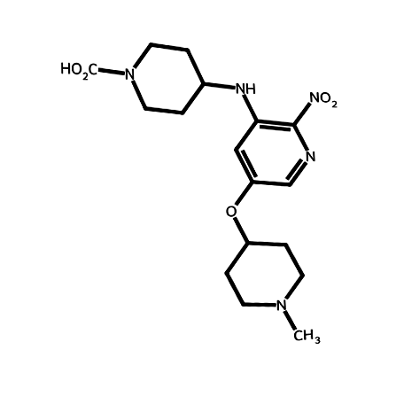 CN1CCC(Oc2cnc([N+](=O)[O-])c(NC3CCN(C(=O)O)CC3)c2)CC1